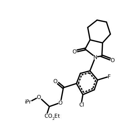 CCOC(=O)C(OC(=O)c1cc(N2C(=O)C3CCCCC3C2=O)c(F)cc1Cl)OC(C)C